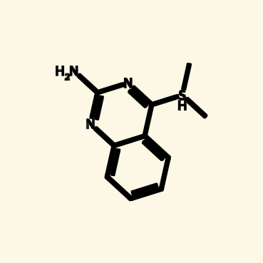 C[SH](C)c1nc(N)nc2ccccc12